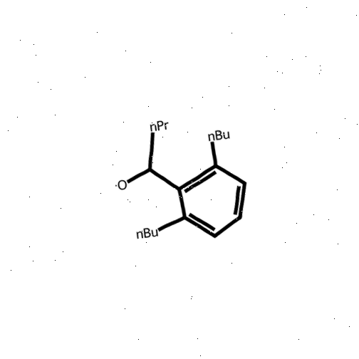 CCCCc1cccc(CCCC)c1C([O])CCC